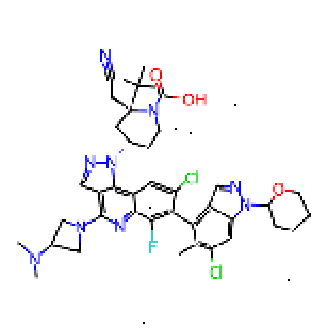 Cc1c(Cl)cc2c(cnn2C2CCCCO2)c1-c1c(Cl)cc2c(nc(N3CC(N(C)C)C3)c3cnn([C@H]4CCN(C(=O)O)[C@@](CC#N)(C(C)(C)C)C4)c32)c1F